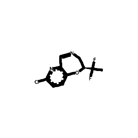 CC(F)(F)[C@@H]1CN=Cc2nc(Cl)ccc2O1